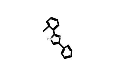 Ic1ccccc1-c1nc(-c2ccccc2)c[nH]1